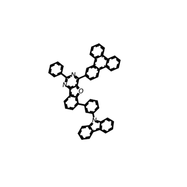 c1ccc(-c2nc(-c3ccc4c5ccccc5c5ccccc5c4c3)c3oc4c(-c5cccc(-n6c7ccccc7c7ccccc76)c5)cccc4c3n2)cc1